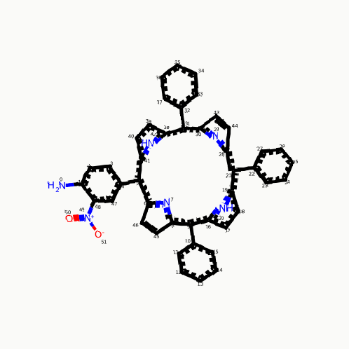 Nc1ccc(-c2c3nc(c(-c4ccccc4)c4ccc([nH]4)c(-c4ccccc4)c4nc(c(-c5ccccc5)c5ccc2[nH]5)C=C4)C=C3)cc1[N+](=O)[O-]